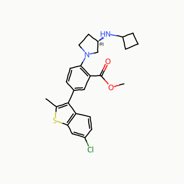 COC(=O)c1cc(-c2c(C)sc3cc(Cl)ccc23)ccc1N1CC[C@@H](NC2CCC2)C1